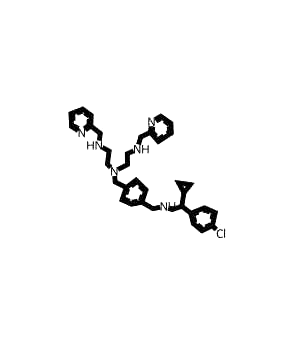 Clc1ccc(C(CNCc2ccc(CN(CCNCc3ccccn3)CCNCc3ccccn3)cc2)C2CC2)cc1